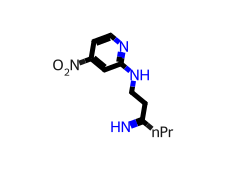 CCCC(=N)CCNc1cc([N+](=O)[O-])ccn1